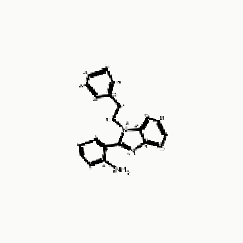 Nc1ccccc1-c1nc2ccccc2n1CCc1ccccc1